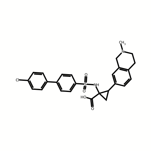 CN1CCc2ccc(C3CC3(NS(=O)(=O)c3ccc(-c4ccc(Cl)cc4)cc3)C(=O)O)cc2C1